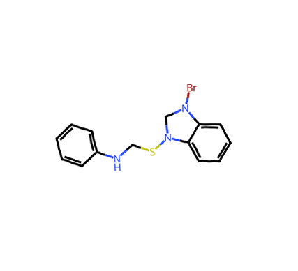 BrN1CN(SCNc2ccccc2)c2ccccc21